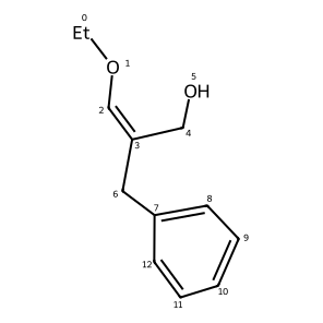 CCOC=C(CO)Cc1ccccc1